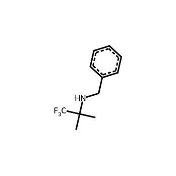 CC(C)(NCc1ccccc1)C(F)(F)F